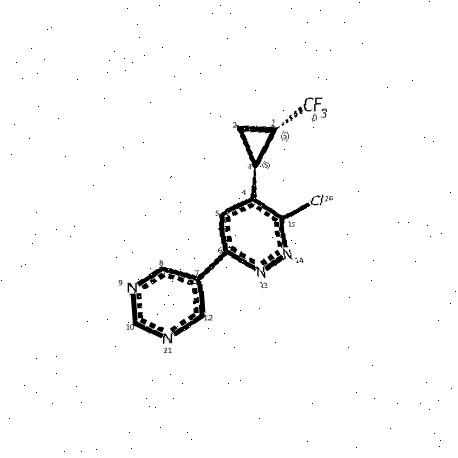 FC(F)(F)[C@H]1C[C@@H]1c1cc(-c2cncnc2)nnc1Cl